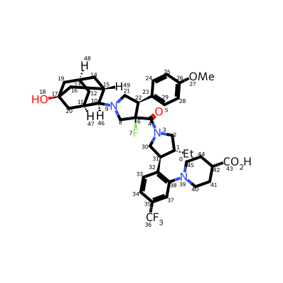 CC[C@H]1CN(C(=O)[C@]2(F)CN([C@H]3[C@@H]4C[C@@H]5C[C@H]3C[C@@](O)(C5)C4)C[C@H]2c2ccc(OC)cc2)C[C@@H]1c1ccc(C(F)(F)F)cc1N1CCC(C(=O)O)CC1